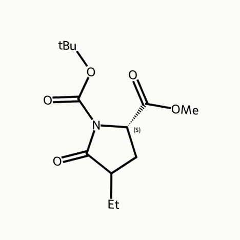 CCC1C[C@@H](C(=O)OC)N(C(=O)OC(C)(C)C)C1=O